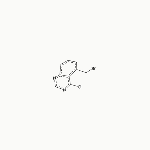 Clc1ncnc2cccc(CBr)c12